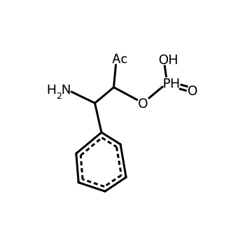 CC(=O)C(O[PH](=O)O)C(N)c1ccccc1